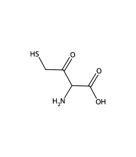 NC(C(=O)O)C(=O)CS